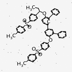 CCC(Oc1ccc(-c2ccc(Oc3ccc(S(=O)(=O)c4ccc(C)cc4)cc3)c(-c3ccccc3)c2)cc1-c1ccccc1)c1ccc(S(=O)(=O)c2ccc(C)cc2)cc1